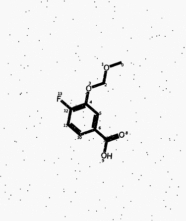 COCOc1cc(C(=O)O)ccc1F